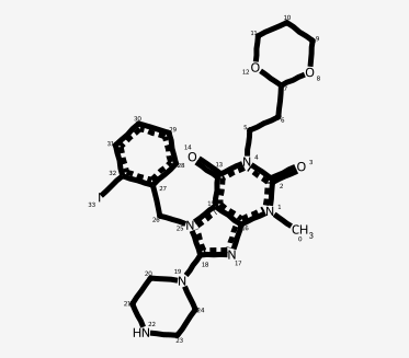 Cn1c(=O)n(CCC2OCCCO2)c(=O)c2c1nc(N1CCNCC1)n2Cc1ccccc1I